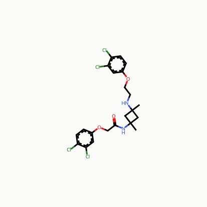 CC1(NCCOc2ccc(Cl)c(Cl)c2)CC(C)(NC(=O)COc2ccc(Cl)c(Cl)c2)C1